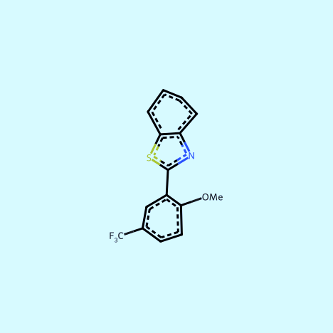 COc1ccc(C(F)(F)F)cc1-c1nc2ccccc2s1